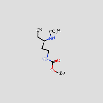 CC(C)(C)OC(=O)NCC[C@@H](CC#N)NC(=O)O